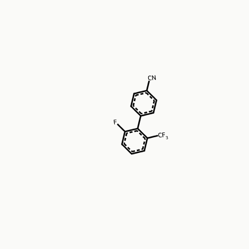 N#Cc1ccc(-c2c(F)cccc2C(F)(F)F)cc1